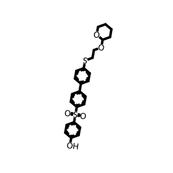 O=S(=O)(c1ccc(O)cc1)c1ccc(-c2ccc(SCCOC3CCCCO3)cc2)cc1